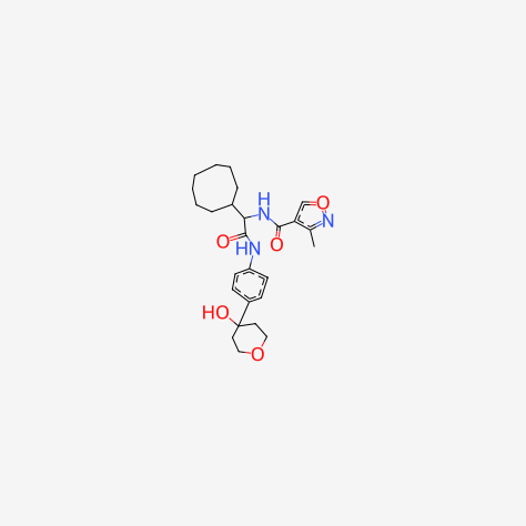 Cc1nocc1C(=O)NC(C(=O)Nc1ccc(C2(O)CCOCC2)cc1)C1CCCCCCC1